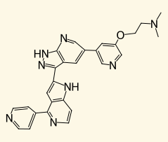 CN(C)CCOc1cncc(-c2cnc3[nH]nc(-c4cc5c(-c6ccncc6)nccc5[nH]4)c3c2)c1